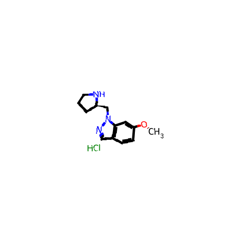 COc1ccc2cnn(C[C@H]3CCCN3)c2c1.Cl